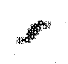 N#CC(C#N)=C1C=C(C2=Cc3sc4c(c3C23CCCCC3)C2(CCCCC2)c2c-4sc3c2C2(CCCCC2)C(C2=CC(=C(C#N)C#N)CCC2)=C3)CCC1